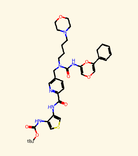 CC(C)(C)OC(=O)Nc1cscc1NC(=O)c1ccc(CN(CCCCN2CCOCC2)C(=O)NC2=COC=C(C3=CC=CCC3)O2)cn1